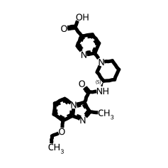 CCOc1cccn2c(C(=O)N[C@H]3CCCN(c4ccc(C(=O)O)cn4)C3)c(C)nc12